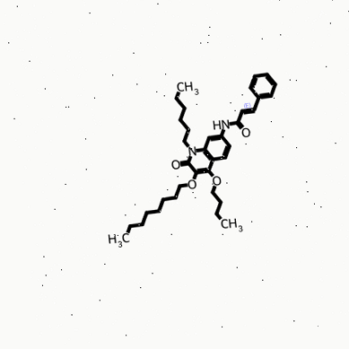 CCCCCCCCOc1c(OCCCC)c2ccc(NC(=O)/C=C/c3ccccc3)cc2n(CCCCCC)c1=O